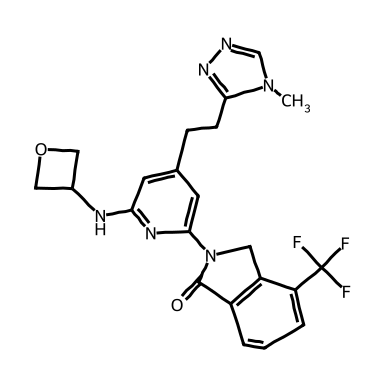 Cn1cnnc1CCc1cc(NC2COC2)nc(N2Cc3c(cccc3C(F)(F)F)C2=O)c1